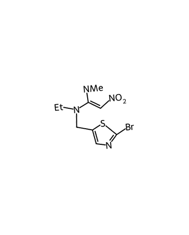 CCN(Cc1cnc(Br)s1)C(=C[N+](=O)[O-])NC